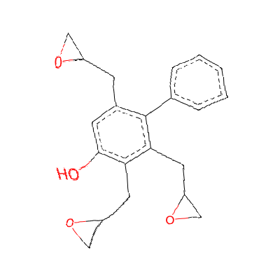 Oc1cc(CC2CO2)c(-c2ccccc2)c(CC2CO2)c1CC1CO1